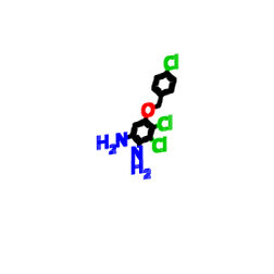 Nc1cc(OCc2ccc(Cl)cc2)c(Cl)c(Cl)c1N